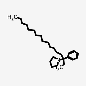 CCCCCCCCCCCCCCC(CC)(c1ccccc1)N1CCCC1